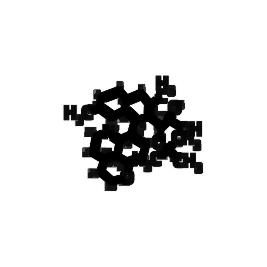 Cc1ccc2cc(C)c([C@H](OC(C)(C)C)C(=O)O)c(-c3ccc4c5c(ccnc35)CCO4)c2c1